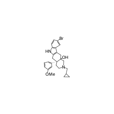 COc1cccc([C@@]23CCN(CC4CC4)C[C@@]2(O)Cc2c([nH]c4ccc(Br)cc24)C3)c1